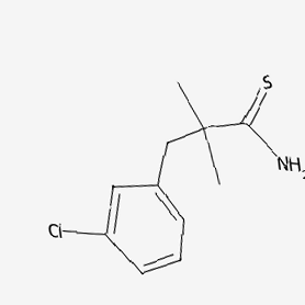 CC(C)(Cc1cccc(Cl)c1)C(N)=S